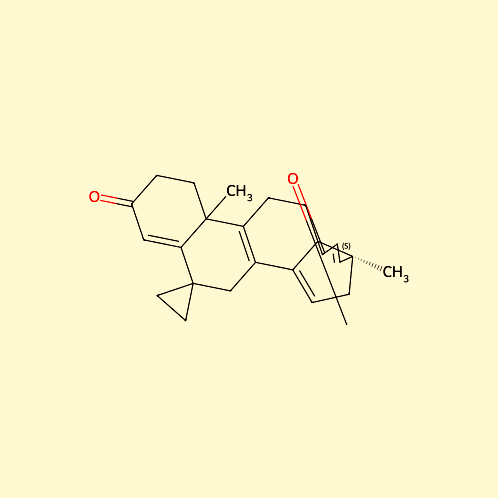 CC12CCC(=O)C=C1C1(CC1)CC1=C2CCC23C(=O)C=C[C@]2(C)CC=C13